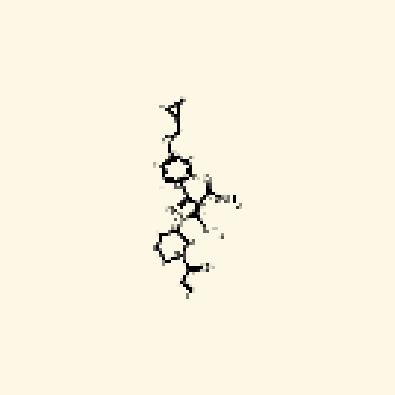 C=CC(=O)N1CCC[C@@H](n2nc(-c3ccc(OCC4CC4)cc3)c(C(N)=O)c2N)C1